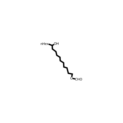 CCCCCCC(O)CCCCCCCCCCOC=O